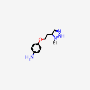 CCN1NN=CC1CCOc1ccc(N)cc1